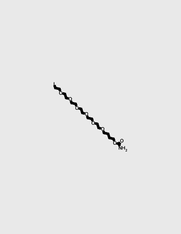 NC(=O)OCCCCOCCOCCOCCOCCOCCOCCI